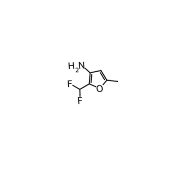 Cc1cc(N)c(C(F)F)o1